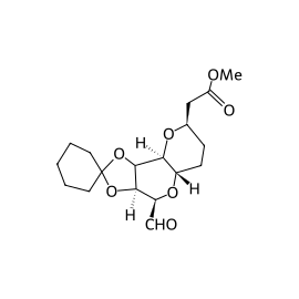 COC(=O)C[C@H]1CC[C@@H]2O[C@@H](C=O)[C@H]3OC4(CCCCC4)OC3[C@H]2O1